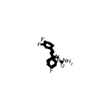 NC(=O)n1nc(C=Cc2ccc(F)c(F)c2)c2c[c]c(F)cc21